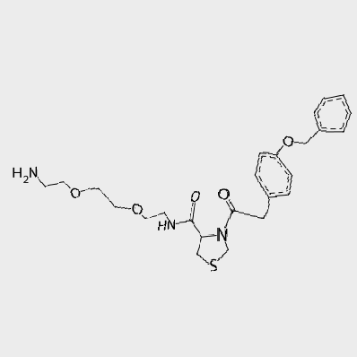 NCCOCCOCCNC(=O)C1CSCN1C(=O)Cc1ccc(OCc2ccccc2)cc1